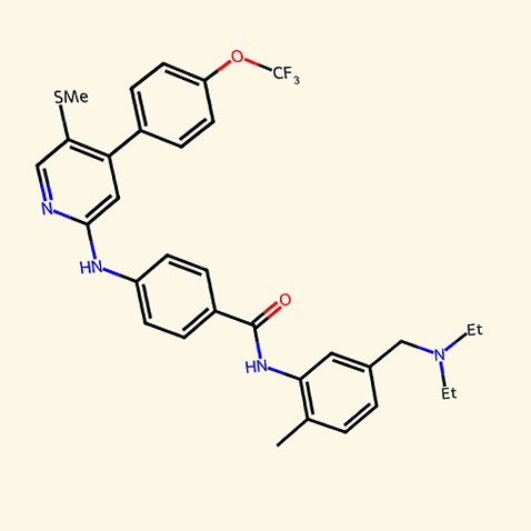 CCN(CC)Cc1ccc(C)c(NC(=O)c2ccc(Nc3cc(-c4ccc(OC(F)(F)F)cc4)c(SC)cn3)cc2)c1